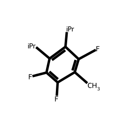 Cc1c(F)c(F)c(C(C)C)c(C(C)C)c1F